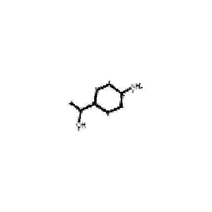 [CH2]C(O)C1CCC(N)CC1